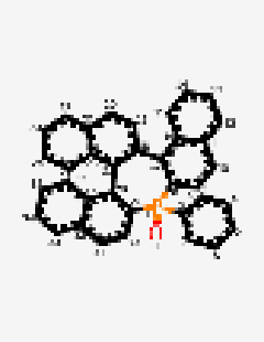 O=P1(c2ccccc2)c2ccc3ccccc3c2-c2ccc3ccccc3c2-c2c1ccc1ccccc21